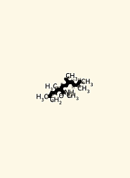 C=C(C)CC/C(C)=C(/CC/C(=C\CC(C)CC)CC)C(=O)NC